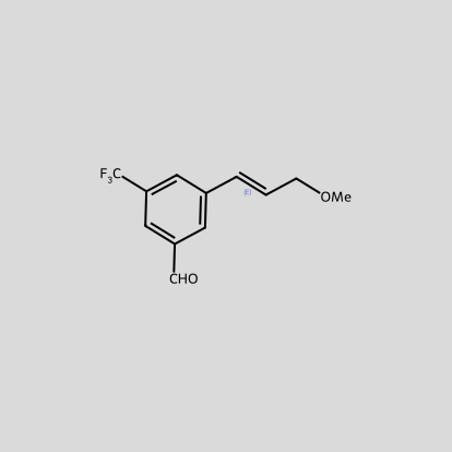 COC/C=C/c1cc(C=O)cc(C(F)(F)F)c1